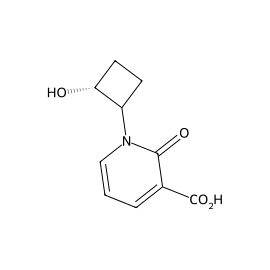 O=C(O)c1cccn(C2CC[C@H]2O)c1=O